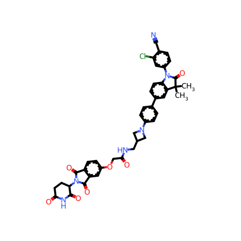 CC1(C)C(=O)N(c2ccc(C#N)c(Cl)c2)c2ccc(-c3ccc(N4CC(CNC(=O)COc5ccc6c(c5)C(=O)N(C5CCC(=O)NC5=O)C6=O)C4)cc3)cc21